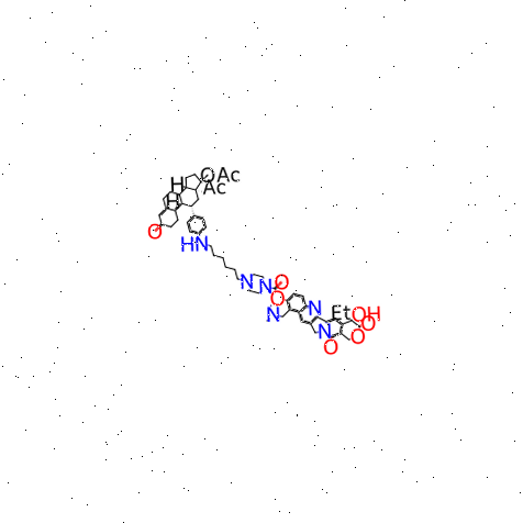 CC[C@@]1(O)C(=O)OCc2c1cc1n(c2=O)Cc2cc3c(CN(C)C)c(OC(=O)N4CCN(CCCCCCNc5ccc([C@H]6C[C@@]7(C)[C@@H](CC[C@]7(OC(C)=O)C(C)=O)[C@@H]7CCC8=CC(=O)CCC8=C76)cc5)CC4)ccc3nc2-1